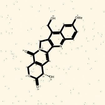 COc1ccc2nc3c(c(CO)c2c1)Cn1c-3cc2c(c1=O)COC(=O)[C@H]2O